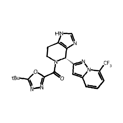 CC(C)(C)c1nnc(C(=O)N2CCc3[nH]cnc3[C@@H]2c2cc3cccc(C(F)(F)F)n3n2)o1